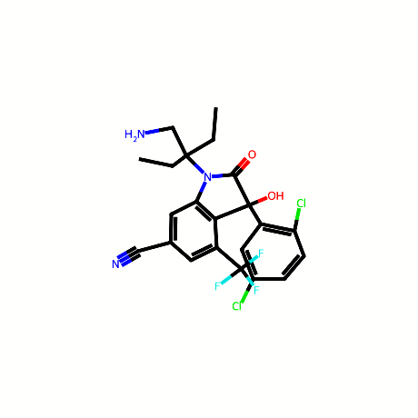 CCC(CC)(CN)N1C(=O)C(O)(c2cc(Cl)ccc2Cl)c2c1cc(C#N)cc2C(F)(F)F